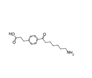 NCCCCCCC(=O)c1ccc(CCC(=O)O)cc1